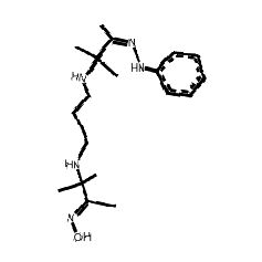 CC(=NO)C(C)(C)NCCCNC(C)(C)C(C)=NNc1ccccc1